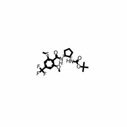 COc1cc(C(F)(F)F)cc(SC)c1C(=O)N[C@@H]1CCC[C@@H]1NC(=O)OC(C)(C)C